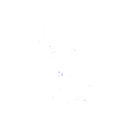 COc1cncc(-n2ccc3c[c]ccc32)c1